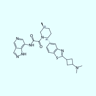 C[C@H]1CC[C@H](c2ccc3sc(C4CC(N(C)C)C4)nc3c2)N(C(=O)C(=O)Nc2cncc3cn[nH]c23)C1